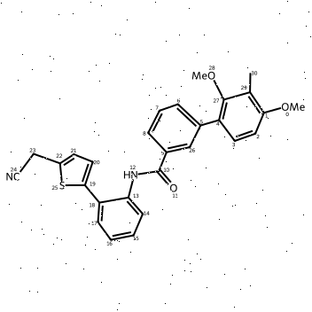 COc1ccc(-c2cccc(C(=O)Nc3ccccc3-c3ccc(CC#N)s3)c2)c(OC)c1C